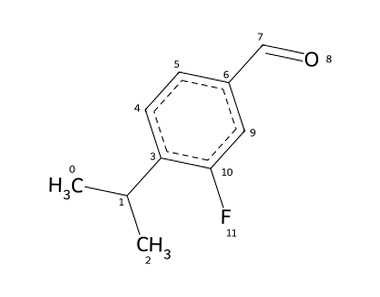 CC(C)c1ccc(C=O)cc1F